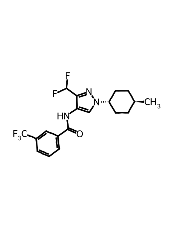 C[C@H]1CC[C@H](n2cc(NC(=O)c3cccc(C(F)(F)F)c3)c(C(F)F)n2)CC1